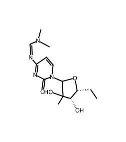 CC[C@H]1OC(n2ccc(/N=C\N(C)C)nc2=O)C(C)(O)[C@H]1O